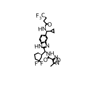 Cc1nonc1C(=O)N[C@H](c1nc2cc([C@H](NC(=O)CCC(F)(F)F)C3CC3)ccc2[nH]1)[C@@H]1CCCC(F)(F)C1